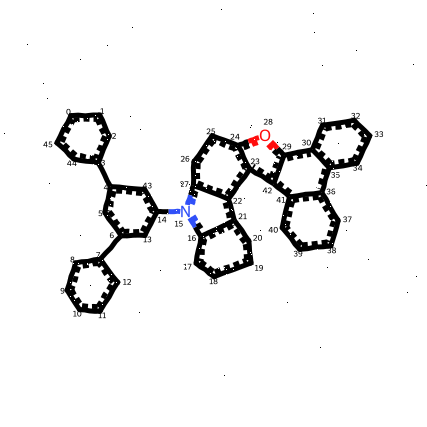 c1ccc(-c2cc(-c3ccccc3)cc(-n3c4ccccc4c4c5c(ccc43)oc3c4ccccc4c4ccccc4c35)c2)cc1